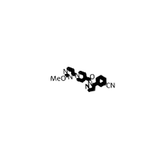 COc1nccc(N2CCC(C(=O)N3N=CCC3c3cccc(C#N)c3)CC2)n1